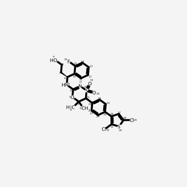 CC1(C)OC(N[C@@H](CCO)c2ccccc2F)=NS(=O)(=O)C1c1ccc(-c2cc(Cl)sc2Cl)cc1